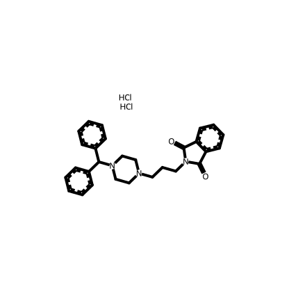 Cl.Cl.O=C1c2ccccc2C(=O)N1CCCN1CCN(C(c2ccccc2)c2ccccc2)CC1